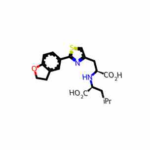 CC(C)C[C@H](N[C@@H](Cc1csc(-c2ccc3c(c2)CCO3)n1)C(=O)O)C(=O)O